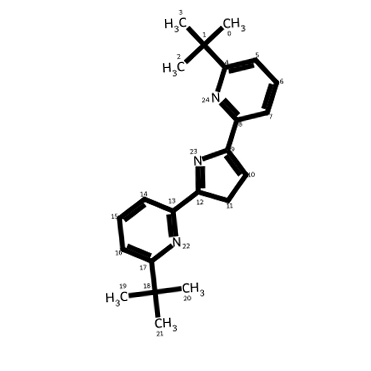 CC(C)(C)c1cccc(C2=CCC(c3cccc(C(C)(C)C)n3)=N2)n1